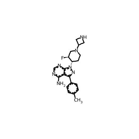 Cc1ccc(-c2nn([C@H]3CCN(C4CNC4)C[C@@H]3F)c3ncnc(N)c23)cc1